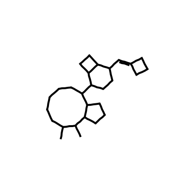 CC1CCCCCC(C2CCC(C=C3CCC3)C3CCC32)C2CCCC2C1C